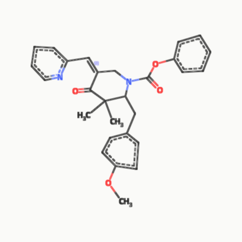 COc1ccc(CC2N(C(=O)Oc3ccccc3)C/C(=C/c3ccccn3)C(=O)C2(C)C)cc1